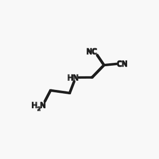 N#CC(C#N)CNCCN